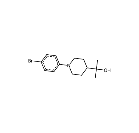 CC(C)(O)C1CCN(c2ccc(Br)cc2)CC1